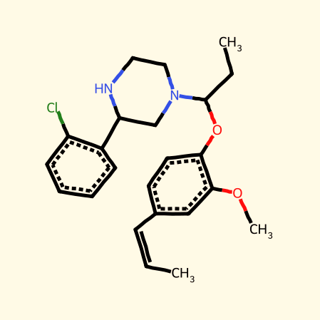 C/C=C\c1ccc(OC(CC)N2CCNC(c3ccccc3Cl)C2)c(OC)c1